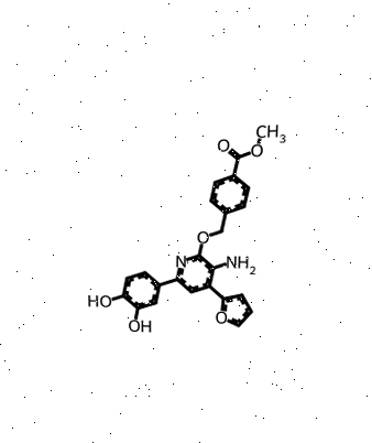 COC(=O)c1ccc(COc2nc(-c3ccc(O)c(O)c3)cc(-c3ccco3)c2N)cc1